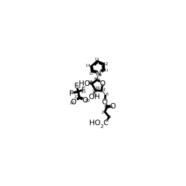 O=C(O)CCC(=O)OC[C@H]1O[C@@H]([n+]2ccccc2)[C@H](O)[C@@H]1O.O=C([O-])C(F)(F)F